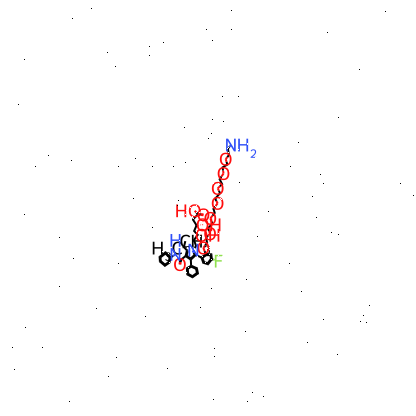 CC(C)c1c(C(=O)Nc2ccccc2)c(-c2ccccc2)c(-c2ccc(F)cc2OCCOCCOCCOCCOCCOCCOCCN)n1CC[C@@H](O)C[C@@H](O)CC(=O)O